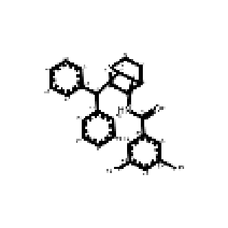 O=C(NC1C2CCN(CC2)C1C(c1ccccc1)c1ccccc1)c1cc(F)cc(F)c1